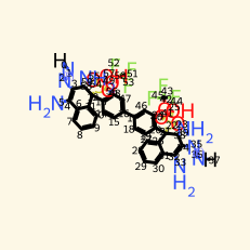 [H]/N=N/C1=C(N)c2ccccc2C(c2ccc(-c3ccc(C4(S(=O)(=O)O)c5ccccc5C(N)=C(/N=N/[H])C4N)c(OC(F)(F)F)c3)cc2OC(F)(F)F)(S(=O)(=O)O)C1N